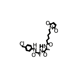 C[C@H](NC(=O)CCCCCN1C(=O)C=CC1=O)C(=O)N[C@@H](C)C(=O)Nc1ccc(CCl)cc1